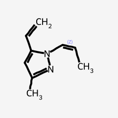 C=Cc1cc(C)nn1/C=C\C